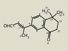 C/C(=C\C=O)c1ccc2c(c1)C(=O)CCC2(C)C